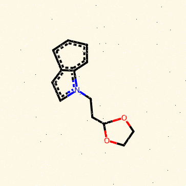 c1ccc2c(c1)ccn2CCC1OCCO1